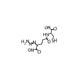 NN=NC(CCC(=O)NC(CS)C(=O)N=O)C(=O)N=O